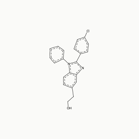 OCCc1ccc2c(c1)nc(-c1ccc(Cl)cc1)n2-c1ccccc1